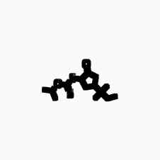 CCC(C)(C)C1CC(=O)C(SC(=S)OC(C)C)C1